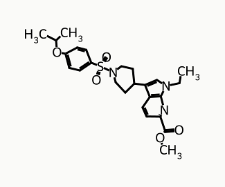 CCn1cc(C2CCN(S(=O)(=O)c3ccc(OC(C)C)cc3)CC2)c2ccc(C(=O)OC)nc21